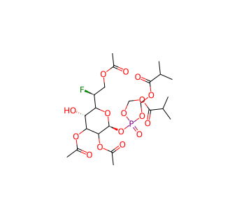 CC(=O)OC[C@H](F)C1O[C@@H](OP(=O)(OCOC(=O)C(C)C)OCOC(=O)C(C)C)C(OC(C)=O)C(OC(C)=O)[C@@H]1O